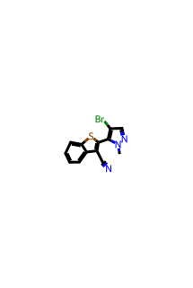 Cn1ncc(Br)c1-c1sc2ccccc2c1C#N